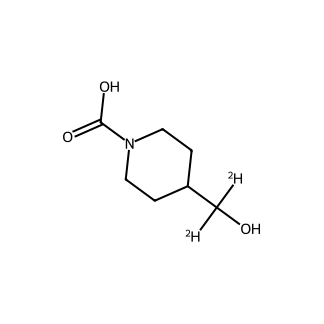 [2H]C([2H])(O)C1CCN(C(=O)O)CC1